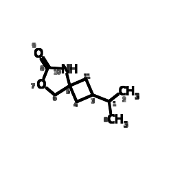 CC(C)C1CC2(COC(=O)N2)C1